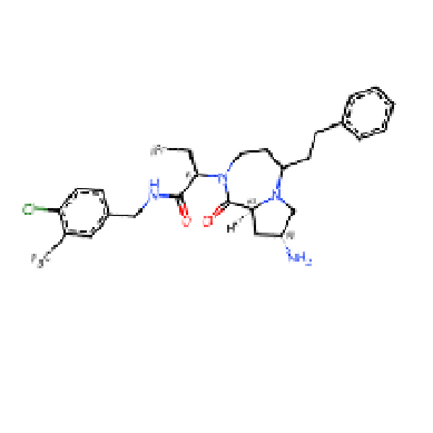 CC(C)C[C@H](C(=O)NCc1ccc(Cl)c(C(F)(F)F)c1)N1CCC(CCc2ccccc2)N2C[C@H](N)C[C@H]2C1=O